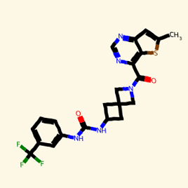 Cc1cc2ncnc(C(=O)N3CC4(CC(NC(=O)Nc5cccc(C(F)(F)F)c5)C4)C3)c2s1